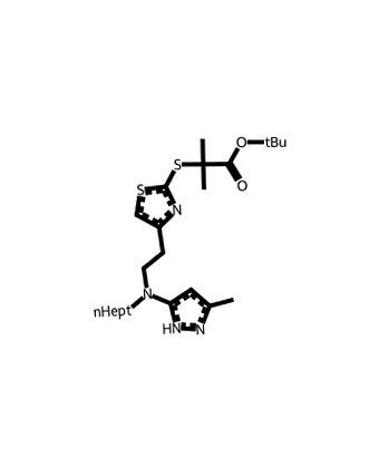 CCCCCCCN(CCc1csc(SC(C)(C)C(=O)OC(C)(C)C)n1)c1cc(C)n[nH]1